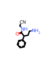 N#CCNC(=O)C(CCN)c1ccccc1